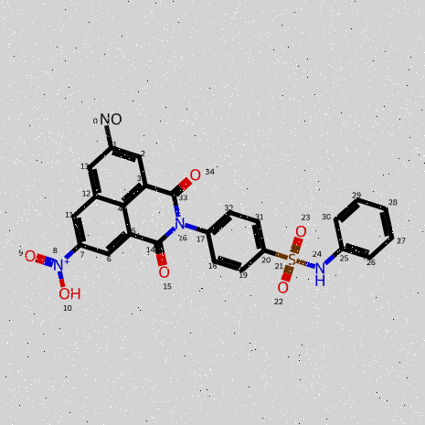 O=Nc1cc2c3c(cc([N+](=O)O)cc3c1)C(=O)N(c1ccc(S(=O)(=O)Nc3ccccc3)cc1)C2=O